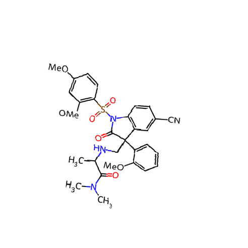 COc1ccc(S(=O)(=O)N2C(=O)C(CNC(C)C(=O)N(C)C)(c3ccccc3OC)c3cc(C#N)ccc32)c(OC)c1